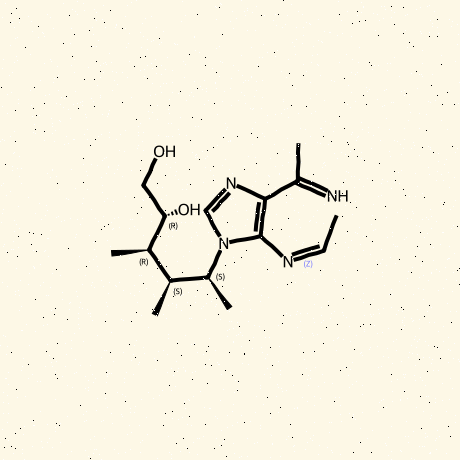 C/C=N\c1c(C(C)=N)ncn1[C@@H](C)[C@@H](C)[C@@H](C)[C@@H](O)CO